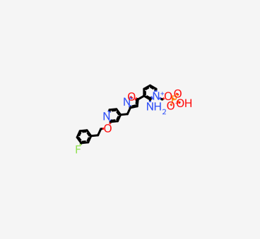 Nc1c(-c2cc(Cc3ccnc(OCCc4cccc(F)c4)c3)no2)ccc[n+]1COP(=O)([O-])O